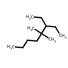 [CH2]CC(CC)C(C)(C)CCCC